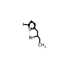 CCC(Br)Cc1ccc(I)s1